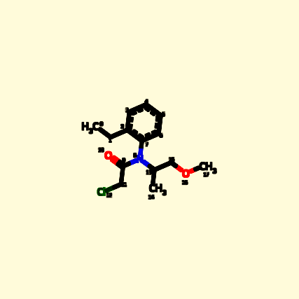 CCc1ccccc1N(C(=O)CCl)C(C)COC